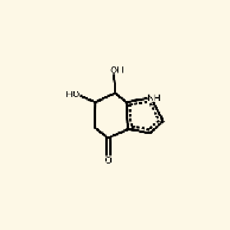 O=C1CC(O)C(O)c2[nH]ccc21